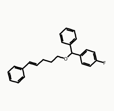 Fc1ccc(C(OCCCC=Cc2ccccc2)c2ccccc2)cc1